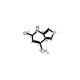 CC1=CC(Cl)Nc2cscc21